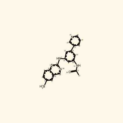 Bc1ccc2nc(Nc3cc(NC(C)=O)cc(-c4cccnc4)c3)ncc2c1